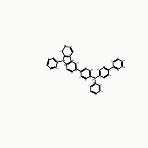 C1=Cc2c(n(-c3ccccc3)c3ccc(-c4ccc(N(c5ccccc5)c5ccc(-c6ccccc6)cc5)cc4)cc23)CC1